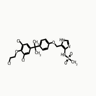 CC(C)(c1ccc(OCc2[nH]cnc2NS(C)(=O)=O)cc1)c1cc(Cl)c(OCCCl)c(Cl)c1